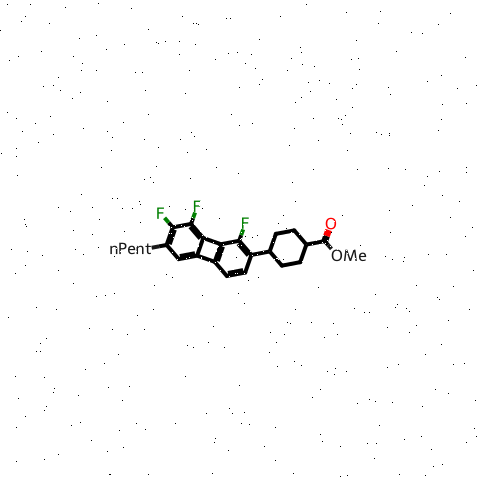 CCCCCc1cc2c(c(F)c1F)-c1c-2ccc(C2CCC(C(=O)OC)CC2)c1F